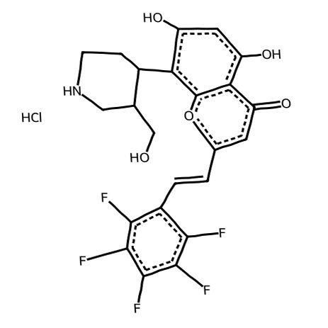 Cl.O=c1cc(C=Cc2c(F)c(F)c(F)c(F)c2F)oc2c(C3CCNCC3CO)c(O)cc(O)c12